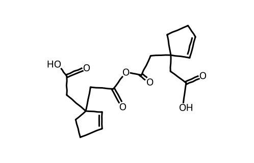 O=C(O)CC1(CC(=O)OC(=O)CC2(CC(=O)O)C=CCC2)C=CCC1